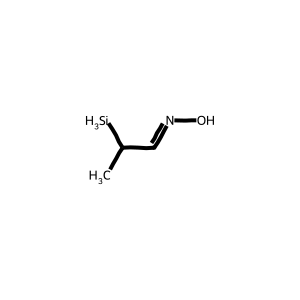 CC([SiH3])C=NO